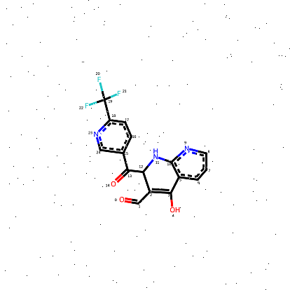 O=CC1=C(O)c2cccnc2NC1C(=O)c1ccc(C(F)(F)F)nc1